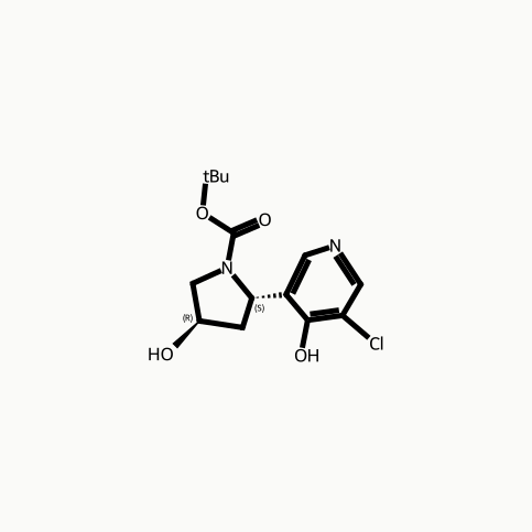 CC(C)(C)OC(=O)N1C[C@H](O)C[C@H]1c1cncc(Cl)c1O